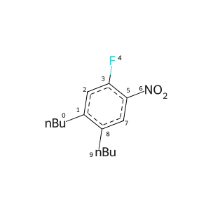 CCCCc1cc(F)c([N+](=O)[O-])cc1CCCC